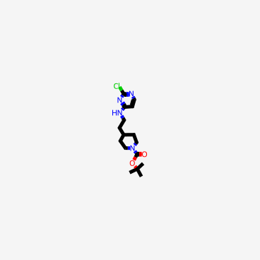 CC(C)(C)OC(=O)N1CCC(CCNc2ccnc(Cl)n2)CC1